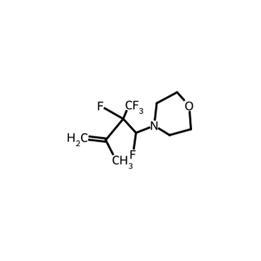 C=C(C)C(F)(C(F)N1CCOCC1)C(F)(F)F